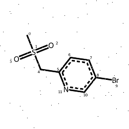 CS(=O)(=O)Cc1ccc(Br)cn1